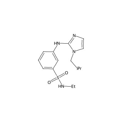 CCNS(=O)(=O)c1cccc(Nc2nccn2CC(C)C)c1